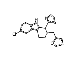 Clc1ccc2[nH]c3c(c2c1)CCN(Cc1ccco1)C3c1nccs1